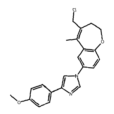 COc1ccc(-c2cn(-c3ccc4c(c3)C(C)=C(CCl)CCO4)cn2)cc1